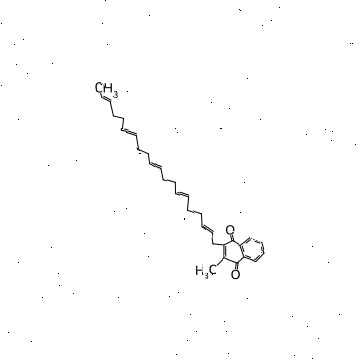 C/C=C/CC/C=C/CC/C=C/CC/C=C/CC/C=C/CC1=C(C)C(=O)c2ccccc2C1=O